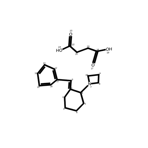 C(=C1CCCCC1N1CCC1)c1ccccc1.O=C(O)CCC(=O)O